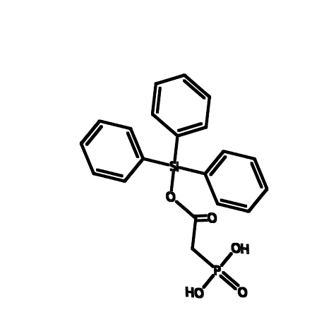 O=C(CP(=O)(O)O)O[Si](c1ccccc1)(c1ccccc1)c1ccccc1